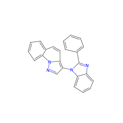 c1ccc(-c2nc3ccccc3n2-c2cnn3c2ccc2ccccc23)cc1